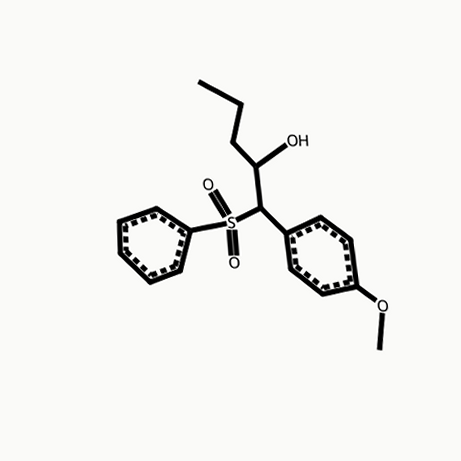 CCCC(O)C(c1ccc(OC)cc1)S(=O)(=O)c1ccccc1